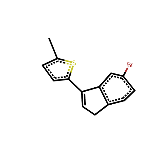 Cc1ccc(C2=CCc3ccc(Br)cc32)s1